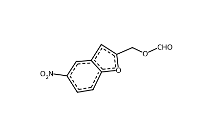 O=COCc1cc2cc([N+](=O)[O-])ccc2o1